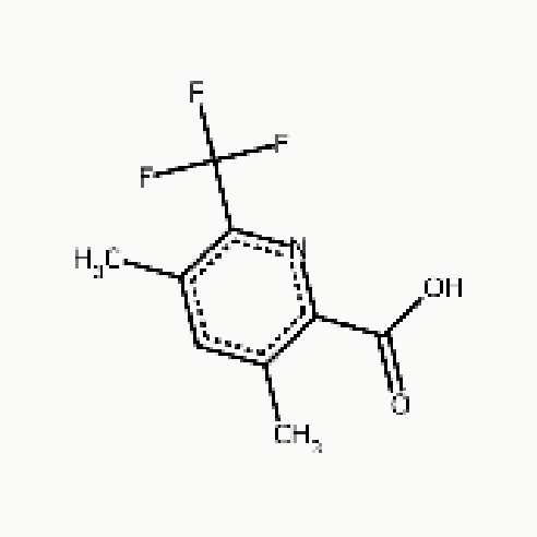 Cc1cc(C)c(C(F)(F)F)nc1C(=O)O